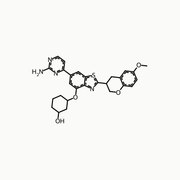 COc1ccc2c(c1)CC(c1nc3c(OC4CCCC(O)C4)cc(-c4ccnc(N)n4)cc3s1)CO2